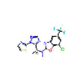 C[C@H](Nc1nc2cc(C(F)(F)F)cc(Cl)c2o1)c1ncnn1-c1nccs1